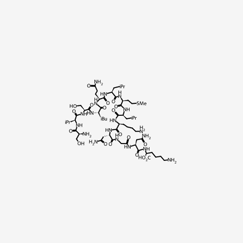 CC[C@H](C)[C@H](NC(=O)[C@H](CO)NC(=O)[C@@H](NC(=O)[C@@H](N)CO)C(C)C)C(=O)N[C@@H](CCC(N)=O)C(=O)N[C@@H](CC(C)C)C(=O)N[C@@H](CCSC)C(=O)N[C@@H](CC(C)C)C(=O)N[C@@H](CCCCN)C(=O)N[C@@H](CC(N)=O)C(=O)NCC(=O)N[C@@H](CC(N)=O)C(=O)N[C@@H](CCCCN)C(=O)O